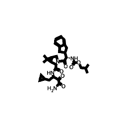 CC(C)COC(=O)N[C@H](C(=O)N1CC2C(C1C(=O)NC(CC1CC1)C(=O)C(N)=O)C2(C)C)C1Cc2ccccc2C1